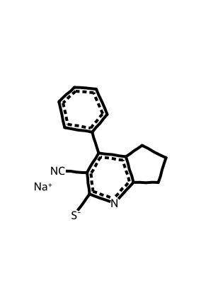 N#Cc1c([S-])nc2c(c1-c1ccccc1)CCC2.[Na+]